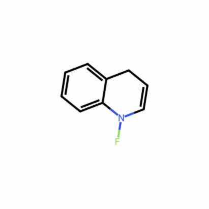 FN1C=CCc2ccccc21